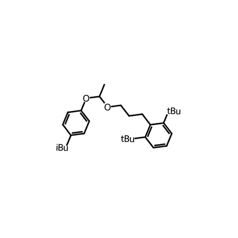 CCC(C)c1ccc(OC(C)OCCCc2c(C(C)(C)C)cccc2C(C)(C)C)cc1